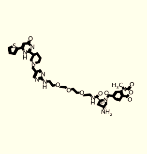 Cn1c(=O)oc(=O)c2ccc(C(=O)N3C[C@@H](N)C[C@H]3C(=O)NCCOCCOCCOCCNc3ncc(CN4CCCC(c5nc(=O)cc(-c6cccs6)[nH]5)C4)cn3)cc21